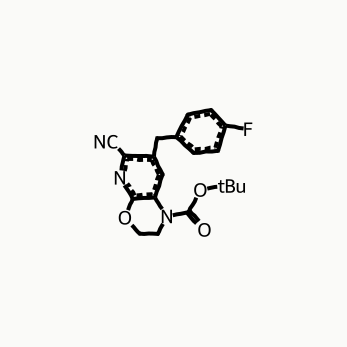 CC(C)(C)OC(=O)N1CCOc2nc(C#N)c(Cc3ccc(F)cc3)cc21